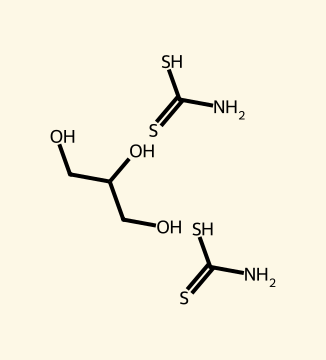 NC(=S)S.NC(=S)S.OCC(O)CO